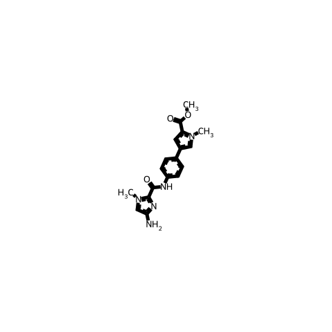 COC(=O)c1cc(-c2ccc(NC(=O)c3nc(N)cn3C)cc2)cn1C